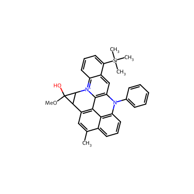 COC1(O)C2c3cc(C)c4cccc5c4c3-c3c(cc4c([Si](C)(C)C)cccc4[n+]3C21)N5c1ccccc1